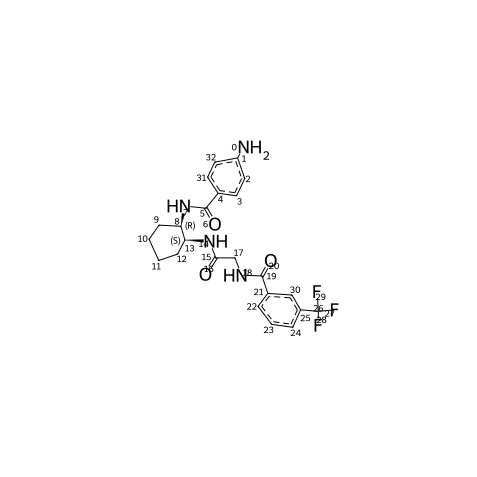 Nc1ccc(C(=O)N[C@@H]2CCCC[C@@H]2NC(=O)CNC(=O)c2cccc(C(F)(F)F)c2)cc1